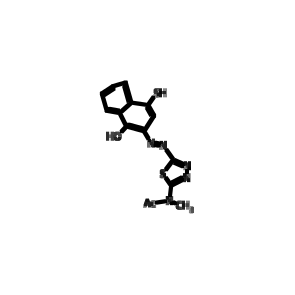 CC(=O)N(C)c1nnc(/N=N/c2cc(S)c3ccccc3c2O)s1